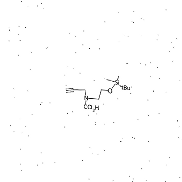 C#CCN(CCO[Si](C)(C)C(C)(C)C)C(=O)O